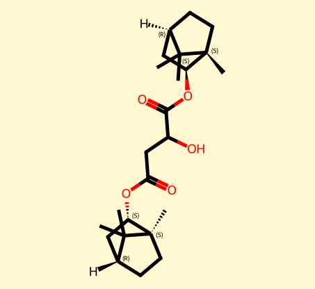 CC1(C)[C@@H]2CC[C@]1(C)[C@@H](OC(=O)CC(O)C(=O)O[C@H]1C[C@H]3CC[C@@]1(C)C3(C)C)C2